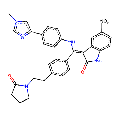 Cn1cnc(-c2ccc(NC(=C3C(=O)Nc4ccc([N+](=O)[O-])cc43)c3ccc(CCN4CCCC4=O)cc3)cc2)c1